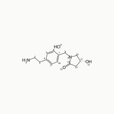 Cl.NCCc1ccc(CN2C[C@H](O)CC2=O)cc1